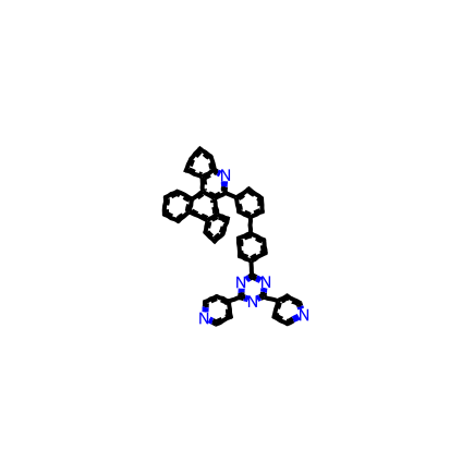 c1cc(-c2ccc(-c3nc(-c4ccncc4)nc(-c4ccncc4)n3)cc2)cc(-c2nc3ccccc3c3c4ccccc4c4ccccc4c23)c1